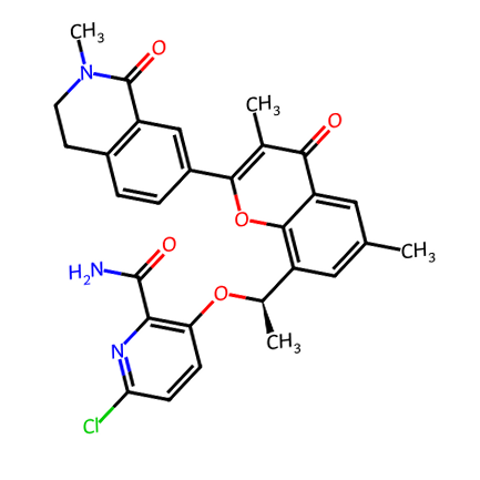 Cc1cc([C@@H](C)Oc2ccc(Cl)nc2C(N)=O)c2oc(-c3ccc4c(c3)C(=O)N(C)CC4)c(C)c(=O)c2c1